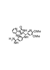 COc1cc(C(Nc2ccc(C(=N)N)cc2)c2nn(-c3ncccc3N)c(=O)[nH]2)cnc1OC